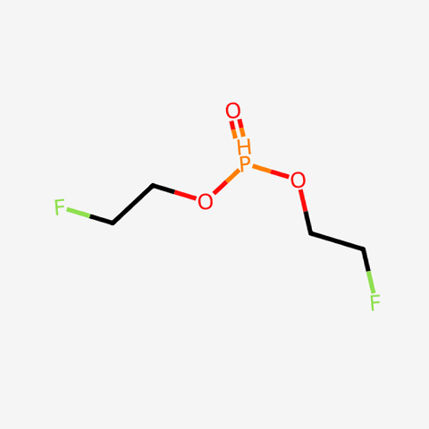 O=[PH](OCCF)OCCF